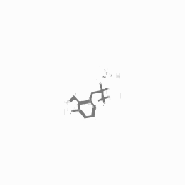 CC(C)(O)C(C)(Cc1cccc2[nH]ncc12)OB(O)O